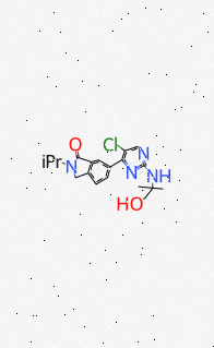 CC(C)N1Cc2ccc(-c3nc(NC(C)(C)CO)ncc3Cl)cc2C1=O